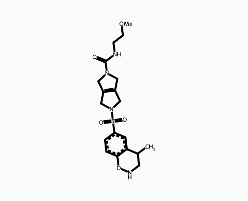 COCCNC(=O)N1CC2=C(C1)CN(S(=O)(=O)c1ccc3c(c1)C(C)CNO3)C2